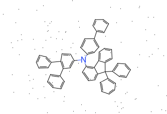 c1ccc(-c2ccc(N(c3ccc(-c4ccccc4)c(-c4ccccc4)c3)c3cccc4c3-c3ccccc3C4(c3ccccc3)c3ccccc3)cc2)cc1